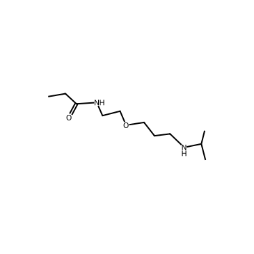 CCC(=O)NCCOCCCNC(C)C